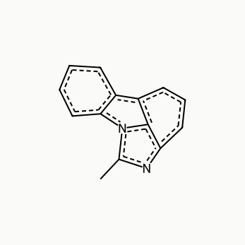 Cc1nc2cccc3c4ccccc4n1c23